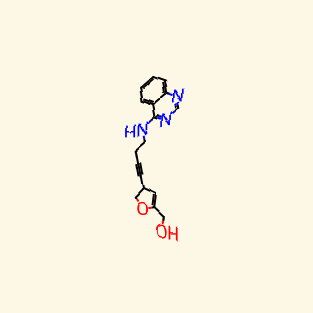 OCC1=CC(C#CCCNc2ncnc3ccccc23)CO1